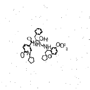 O=C(N[C@@H](Cc1ccccc1)[C@H](O)CN[C@H]1CC2(CCCC2)Oc2ccc(OC(F)(F)F)cc21)c1ccc(=O)n(C2CCCC2)c1